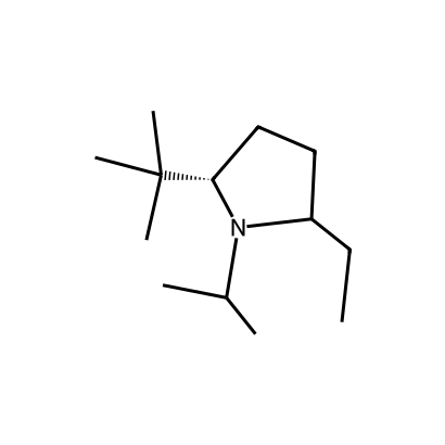 CCC1CC[C@@H](C(C)(C)C)N1C(C)C